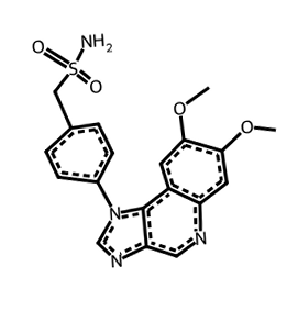 COc1cc2ncc3ncn(-c4ccc(CS(N)(=O)=O)cc4)c3c2cc1OC